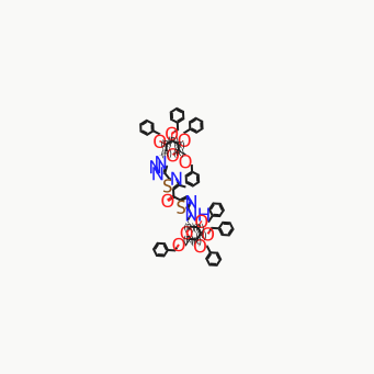 Cc1nc(-c2cn(C[C@H]3O[C@H](COCc4ccccc4)[C@@H](OCc4ccccc4)[C@H](OCc4ccccc4)[C@@H]3OCc3ccccc3)nn2)sc1C(=O)c1cnc(NC[C@H]2O[C@H](COCc3ccccc3)[C@@H](OCc3ccccc3)[C@H](OCc3ccccc3)[C@@H]2OCc2ccccc2)s1